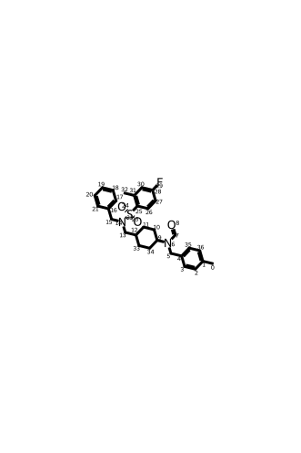 Cc1ccc(CN(C=O)C2CCC(CN(Cc3ccccc3)S(=O)(=O)c3ccc(F)cc3C)CC2)cc1